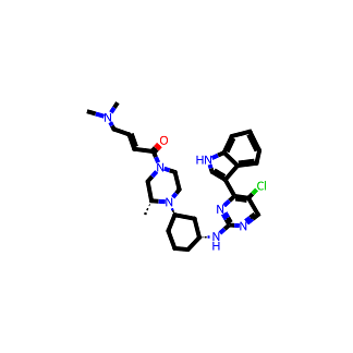 C[C@@H]1CN(C(=O)/C=C/CN(C)C)CCN1[C@H]1CCC[C@@H](Nc2ncc(Cl)c(-c3c[nH]c4ccccc34)n2)C1